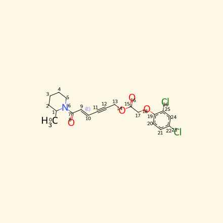 CC1CCCCN1C(=O)/C=C/C#CCOC(=O)COc1ccc(Cl)cc1Cl